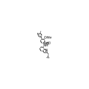 COc1cc(Nc2cccc3cn(CC4CC4)nc23)ccc1-n1cnc(C)c1.Cl.Cl